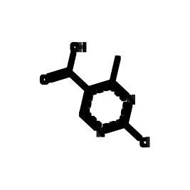 Cc1nc(Cl)ncc1C(=O)O